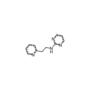 [c]1ccnc(NCCc2ccccn2)n1